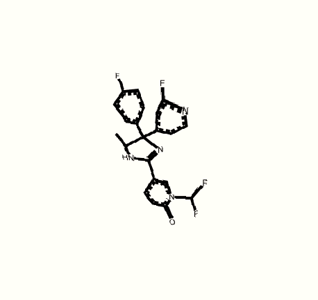 CC1NC(c2ccc(=O)n(C(F)F)c2)=NC1(c1ccc(F)cc1)c1ccnc(F)c1